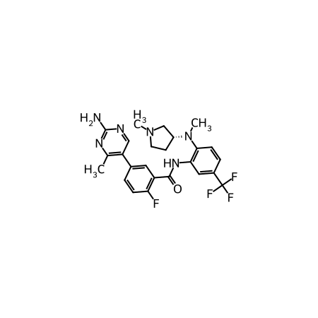 Cc1nc(N)ncc1-c1ccc(F)c(C(=O)Nc2cc(C(F)(F)F)ccc2N(C)[C@@H]2CCN(C)C2)c1